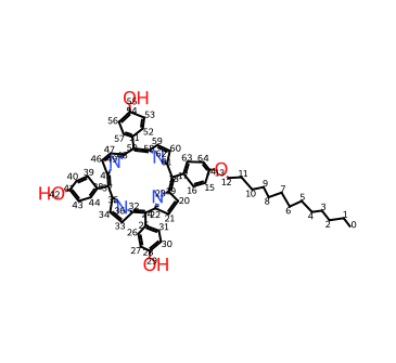 CCCCCCCCCCCCCOc1ccc(C2=C3C=CC(=N3)C(c3ccc(O)cc3)=C3C=CC(=N3)C(c3ccc(O)cc3)=C3C=CC(=N3)C(c3ccc(O)cc3)=C3C=CC2=N3)cc1